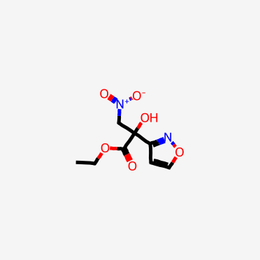 CCOC(=O)C(O)(C[N+](=O)[O-])c1ccon1